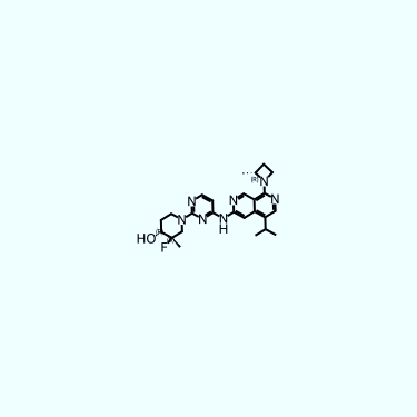 CC(C)c1cnc(N2CC[C@H]2C)c2cnc(Nc3ccnc(N4CC[C@@H](O)[C@@](C)(F)C4)n3)cc12